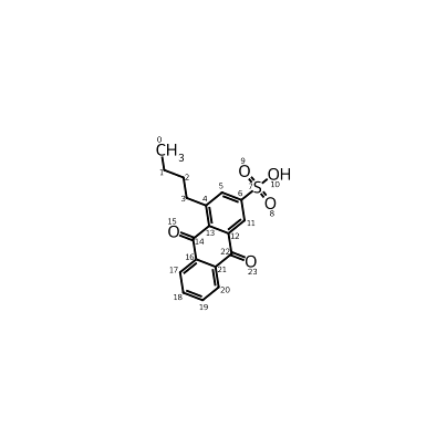 CCCCc1cc(S(=O)(=O)O)cc2c1C(=O)c1ccccc1C2=O